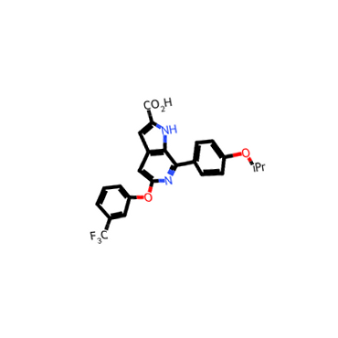 CC(C)Oc1ccc(-c2nc(Oc3cccc(C(F)(F)F)c3)cc3cc(C(=O)O)[nH]c23)cc1